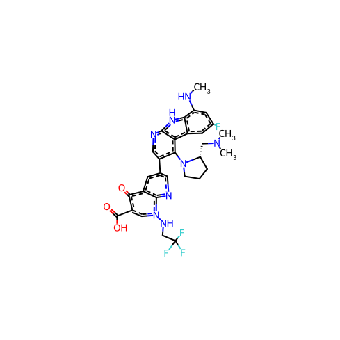 CNc1cc(F)cc2c1[nH]c1ncc(-c3cnc4c(c3)c(=O)c(C(=O)O)cn4NCC(F)(F)F)c(N3CCC[C@H]3CN(C)C)c12